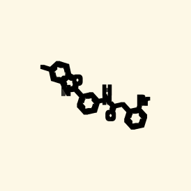 Cc1ccc2oc(-c3cccc(NC(=O)Cc4ccccc4Br)c3)nc2c1